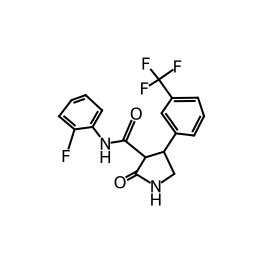 O=C1NCC(c2cccc(C(F)(F)F)c2)C1C(=O)Nc1ccccc1F